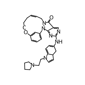 O=c1c2cnc(NC3=CC=C4C(C=CN4CCN4CCCC4)C3)nc2n2n1C/C=C\CCCOc1cccc-2c1